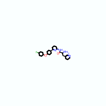 NC(Cc1cccnc1)C(=O)Nc1cccc(-c2ccc(Oc3ccc(F)cc3)cc2)n1